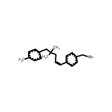 CC(C)(C)Cc1ccc(/C=C\CC(C)(C)Cc2ccc(C(F)(F)F)cc2)cc1